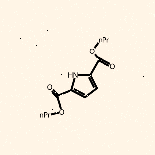 CCCOC(=O)c1ccc(C(=O)OCCC)[nH]1